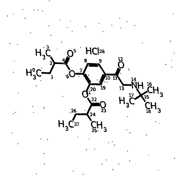 CCC(C)C(=O)Oc1ccc(C(=O)CNC(C)(C)C)cc1OC(=O)C(C)CC.Cl